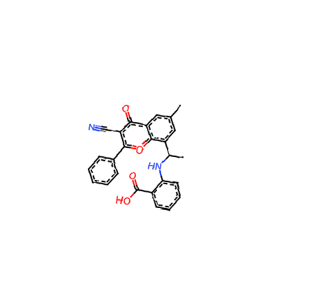 Cc1cc(C(C)Nc2ccccc2C(=O)O)c2oc(-c3ccccc3)c(C#N)c(=O)c2c1